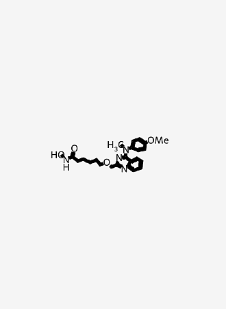 COc1ccc(N(C)c2nc(COCCCCCC(=O)NO)nc3ccccc23)cc1